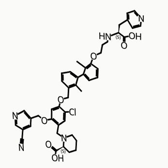 Cc1c(COc2cc(OCc3cncc(C#N)c3)c(CN3CCCC[C@H]3C(=O)O)cc2Cl)cccc1-c1cccc(OCCCN[C@@H](Cc2ccncc2)C(=O)O)c1C